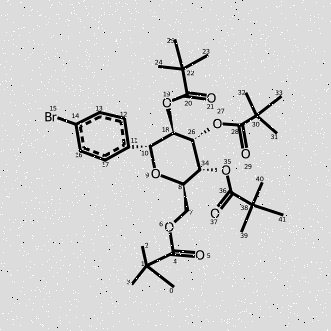 CC(C)(C)C(=O)OC[C@H]1O[C@H](c2ccc(Br)cc2)[C@@H](OC(=O)C(C)(C)C)[C@H](OC(=O)C(C)(C)C)[C@@H]1OC(=O)C(C)(C)C